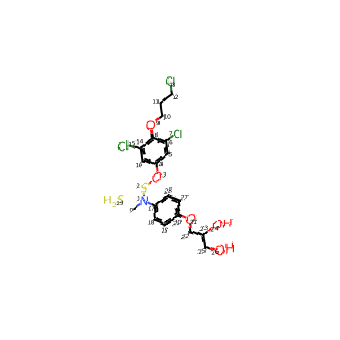 CN(SOc1cc(Cl)c(OCCCCl)c(Cl)c1)c1ccc(OCC(O)CO)cc1.S